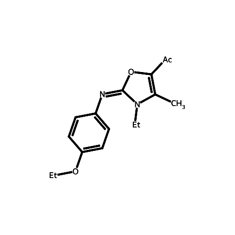 CCOc1ccc(/N=c2/oc(C(C)=O)c(C)n2CC)cc1